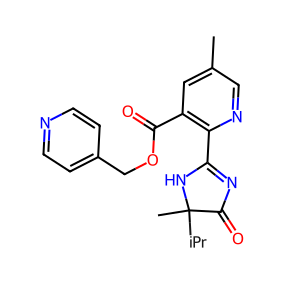 Cc1cnc(C2=NC(=O)C(C)(C(C)C)N2)c(C(=O)OCc2ccncc2)c1